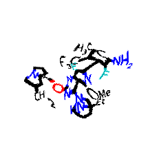 C=C1CN2CCC[C@@]2(COc2nc(N3CC4CCC(CC)(C3)N4)c3c(OC)nc(-c4c(F)c(N)cc(C)c4C(F)(F)F)c(F)c3n2)C1